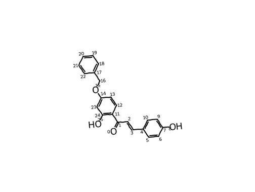 O=C(/C=C/c1ccc(O)cc1)c1ccc(OCc2ccccc2)cc1O